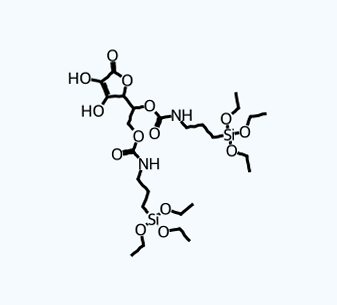 CCO[Si](CCCNC(=O)OCC(OC(=O)NCCC[Si](OCC)(OCC)OCC)C1OC(=O)C(O)=C1O)(OCC)OCC